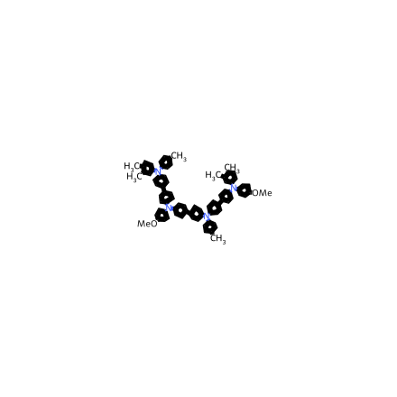 COc1ccc(N(c2ccc(-c3ccc(N(c4ccc(C)cc4)c4ccc(-c5ccc(N(c6ccc(OC)cc6)c6ccc(C)c(C)c6)cc5)cc4)cc3)cc2)c2ccc(-c3ccc(N(c4ccc(C)cc4)c4ccc(C)c(C)c4)cc3)cc2)cc1